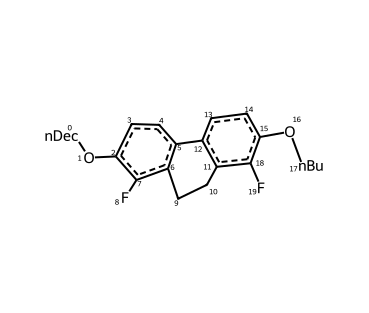 CCCCCCCCCCOc1ccc2c(c1F)CCc1c-2ccc(OCCCC)c1F